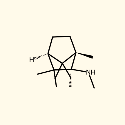 CN[C@@]1(C)C(C)(C)[C@H]2CC[C@@]1(C)C2(C)C